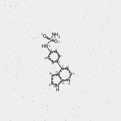 NS(=O)(=O)Nc1ccc(-c2ccnc3[nH]ccc23)cc1